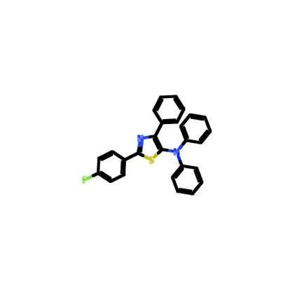 Fc1ccc(-c2nc(-c3ccccc3)c(N(c3ccccc3)c3ccccc3)s2)cc1